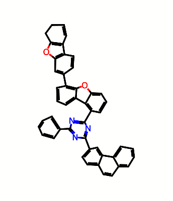 C1=Cc2c(oc3cc(-c4cccc5c4oc4cccc(-c6nc(-c7ccccc7)nc(-c7ccc8ccc9ccccc9c8c7)n6)c45)ccc23)CC1